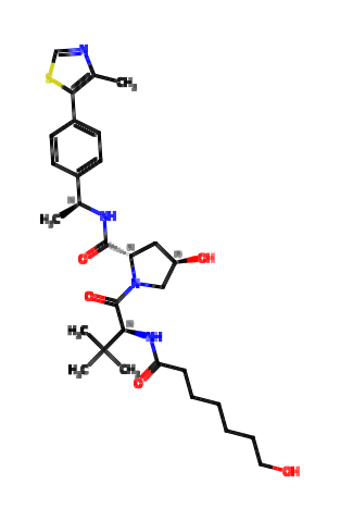 Cc1ncsc1-c1ccc([C@H](C)NC(=O)[C@@H]2C[C@@H](O)CN2C(=O)[C@@H](NC(=O)CCCCCCO)C(C)(C)C)cc1